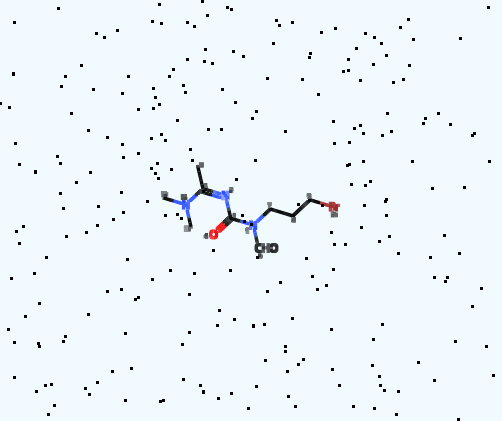 C/C(=N/C(=O)N(C=O)CCCBr)N(C)C